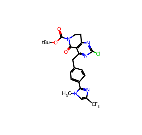 Cn1cc(C(F)(F)F)nc1-c1ccc(Cc2nc(Cl)nc3c2C(=O)N(C(=O)OC(C)(C)C)CC3)cc1